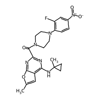 Cc1cc2c(NC3(C)CC3)nc(C(=O)N3CCN(c4ccc([N+](=O)[O-])cc4F)CC3)nc2o1